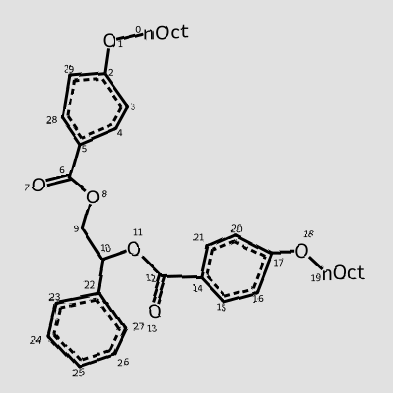 CCCCCCCCOc1ccc(C(=O)OCC(OC(=O)c2ccc(OCCCCCCCC)cc2)c2ccccc2)cc1